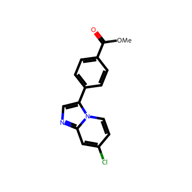 COC(=O)c1ccc(-c2cnc3cc(Cl)ccn23)cc1